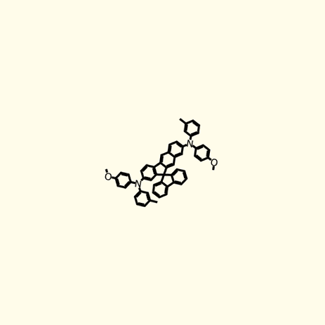 COc1ccc(N(c2cccc(C)c2)c2ccc3c(c2)C2(c4ccccc4-c4ccccc42)c2cc4cc(N(c5ccc(OC)cc5)c5cccc(C)c5)ccc4cc2-3)cc1